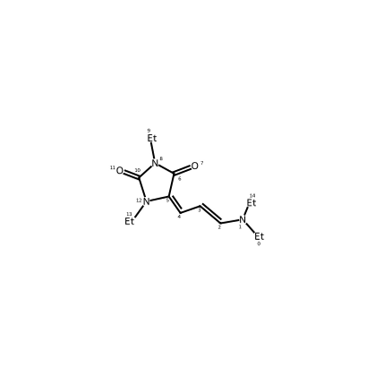 CCN(/C=C/C=C1\C(=O)N(CC)C(=O)N1CC)CC